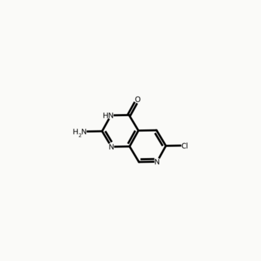 Nc1nc2cnc(Cl)cc2c(=O)[nH]1